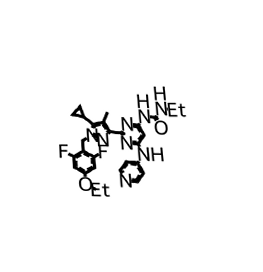 CCNC(=O)Nc1cc(Nc2ccncc2)nc(-c2nn(Cc3c(F)cc(OCC)cc3F)c(C3CC3)c2C)n1